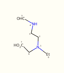 CCN(CCNC=O)CC(=O)O